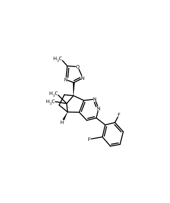 Cc1nc([C@@]23CC[C@@H](c4cc(-c5c(F)cccc5F)nnc42)C3(C)C)no1